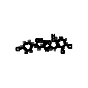 Cc1ncc(Cl)c(=O)n1Cc1nc(C[C@H](O)c2ccc(Cl)cc2)no1